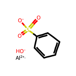 O=S(=O)([O-])c1ccccc1.[Al+2].[OH-]